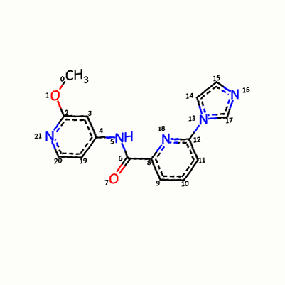 COc1cc(NC(=O)c2cccc(-n3ccnc3)n2)ccn1